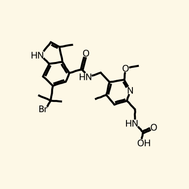 COc1nc(CNC(=O)O)cc(C)c1CNC(=O)c1cc(C(C)(C)Br)cc2[nH]cc(C)c12